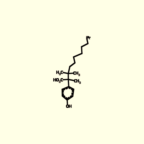 CC(C)CCCCCCC(C)(C)C(C)(C(=O)O)c1ccc(O)cc1